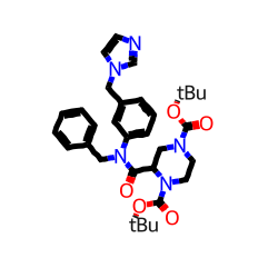 CC(C)(C)OC(=O)N1CCN(C(=O)OC(C)(C)C)C(C(=O)N(Cc2ccccc2)c2cccc(Cn3ccnc3)c2)C1